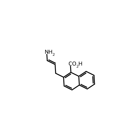 NC=CCc1ccc2ccccc2c1C(=O)O